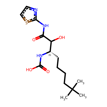 CC(C)(C)CCCC[C@H](NC(=O)O)C(O)C(=O)Nc1nccs1